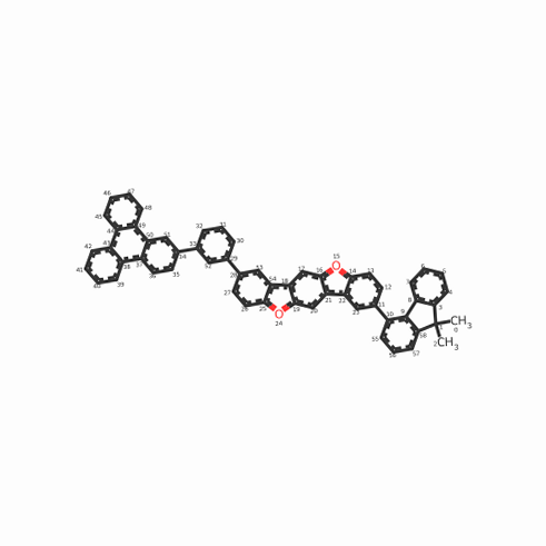 CC1(C)c2ccccc2-c2c(-c3ccc4oc5cc6c(cc5c4c3)oc3ccc(-c4cccc(-c5ccc7c8ccccc8c8ccccc8c7c5)c4)cc36)cccc21